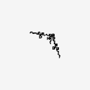 CCCCCOC(=O)OCCCOP(=O)(NCCC)OCCCOC(=O)OCCCCC